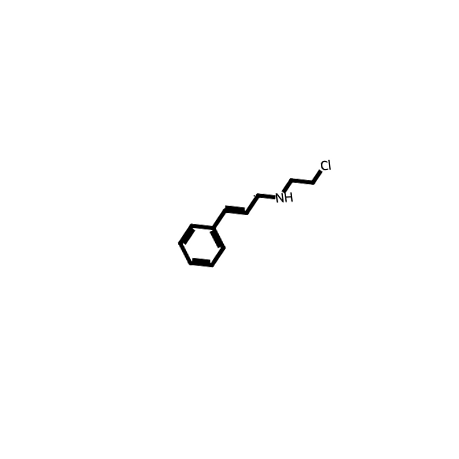 ClCCN[CH]/C=C/c1ccccc1